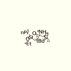 CCC[Si](C)(OCC)OC(C)(N)[Si](C)(C)C(C)(C)C